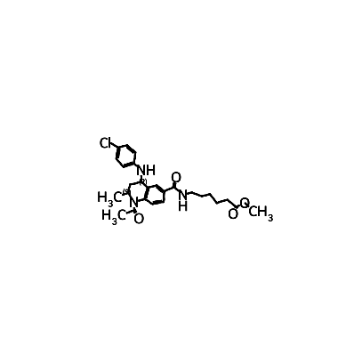 COC(=O)CCCCCNC(=O)c1ccc2c(c1)[C@H](Nc1ccc(Cl)cc1)C[C@H](C)N2C(C)=O